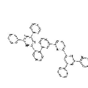 c1ccc(-c2cc(-c3ccccn3)nc(-c3cccc(-c4cccc(-c5ccccc5-c5nc(-c6ccccc6)nc(-c6ccccc6)n5)c4)n3)c2)cc1